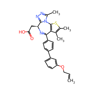 C=CCOc1cccc(-c2ccc(C3=N[C@@H](CC(=O)O)c4nnc(C)n4-c4sc(C)c(C)c43)cc2)c1